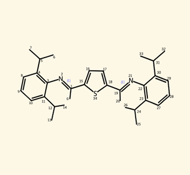 C/C(=N\c1c(C(C)C)cccc1C(C)C)c1ccc(/C(C)=N/c2c(C(C)C)cccc2C(C)C)s1